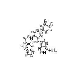 Nc1ncnc2c1ncn2Cc1cc(-c2ccc(F)c(F)c2)ncc1N1CCC[C@](N)(Cc2nccs2)C1